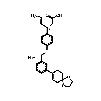 CC=C[C@H](CC(=O)O)c1ccc(OCc2cccc(C3=CCC4(CC3)OCCO4)c2)cc1.[NaH]